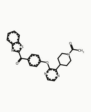 CC(=O)N1CCC(c2nccnc2Oc2ccc(C(=O)c3nc4ccccc4s3)cc2)CC1